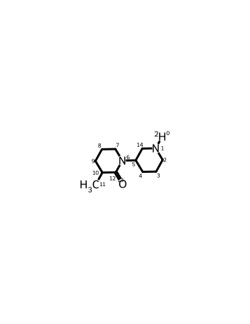 [2H]N1CCCC(N2CCCC(C)C2=O)C1